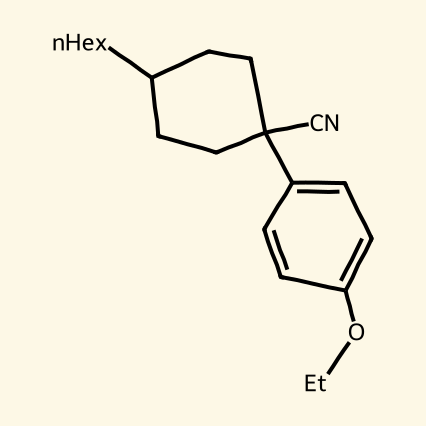 CCCCCCC1CCC(C#N)(c2ccc(OCC)cc2)CC1